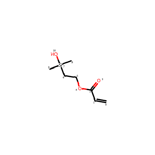 C=CC(=O)OCC[Si](C)(C)O